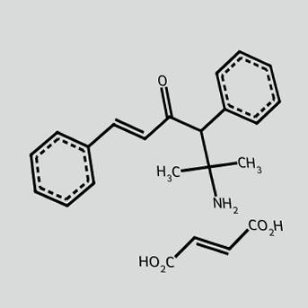 CC(C)(N)C(C(=O)C=Cc1ccccc1)c1ccccc1.O=C(O)C=CC(=O)O